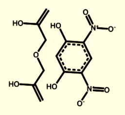 C=C(O)COCC(=C)O.O=[N+]([O-])c1cc([N+](=O)[O-])c(O)cc1O